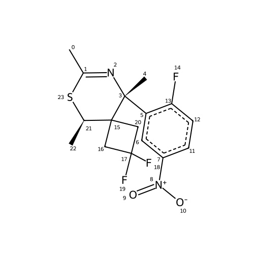 CC1=N[C@](C)(c2cc([N+](=O)[O-])ccc2F)C2(CC(F)(F)C2)[C@@H](C)S1